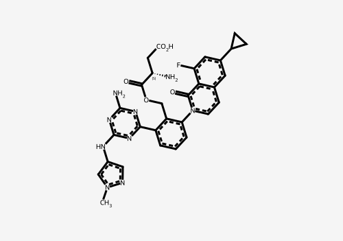 Cn1cc(Nc2nc(N)nc(-c3cccc(-n4ccc5cc(C6CC6)cc(F)c5c4=O)c3COC(=O)[C@@H](N)CC(=O)O)n2)cn1